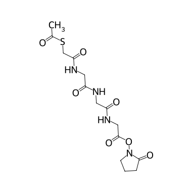 CC(=O)SCC(=O)NCC(=O)NCC(=O)NCC(=O)ON1CCCC1=O